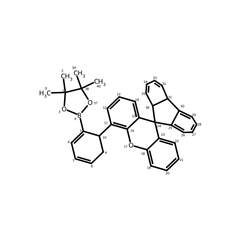 CC1(C)OB(C2=CC=CCC2c2cccc3c2Oc2ccccc2C32c3ccccc3C3C=CC=CC32)OC1(C)C